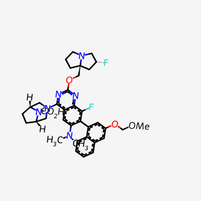 COCOc1cc(-c2c(N(C)C)cc3c(N4C[C@H]5CC[C@@H](C4)N5C(=O)O)nc(OC[C@@]45CCCN4C[C@H](F)C5)nc3c2F)c2ccccc2c1